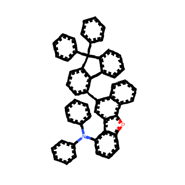 c1ccc(N(c2ccccc2)c2cccc3oc4c5ccccc5c(-c5cccc6c5-c5ccccc5C6(c5ccccc5)c5ccccc5)cc4c23)cc1